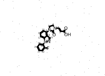 O=C(O)C=CN1CCN(c2cccc3c2cnn3-c2ccccc2F)C1=O